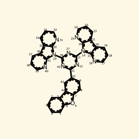 c1ccc2c(c1)oc1ccc(-c3nc(-n4c5ncccc5c5cccnc54)nc(-n4c5ncccc5c5cccnc54)n3)cc12